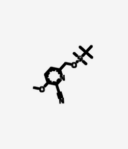 COc1ccc(CO[Si](C)(C)C(C)(C)C)nc1C#N